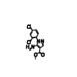 COC(=O)c1cnn(-c2ccc(Cl)cc2Cl)c1N